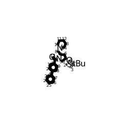 CC(C)(C)[Si](C)(C)OC1CC(CN2CCCCC2)N(C(=O)c2ccc(-c3ccccc3)cc2)C1